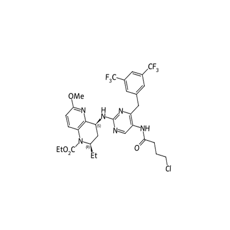 CCOC(=O)N1c2ccc(OC)nc2[C@@H](Nc2ncc(NC(=O)CCCCl)c(Cc3cc(C(F)(F)F)cc(C(F)(F)F)c3)n2)C[C@H]1CC